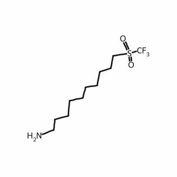 NCCCCCCCCCCS(=O)(=O)C(F)(F)F